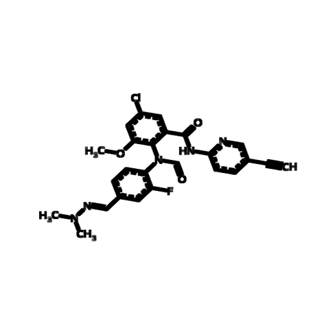 C#Cc1ccc(NC(=O)c2cc(Cl)cc(OC)c2N(C=O)c2ccc(C=NN(C)C)cc2F)nc1